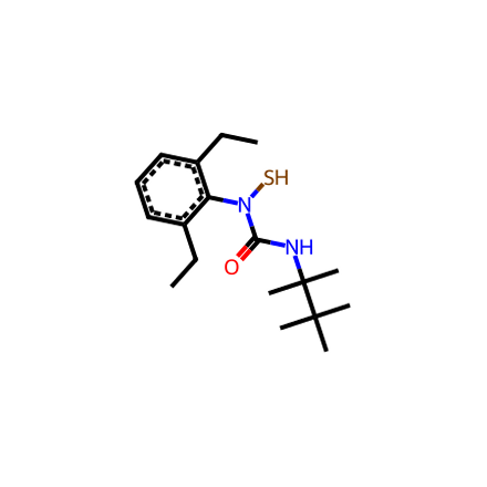 CCc1cccc(CC)c1N(S)C(=O)NC(C)(C)C(C)(C)C